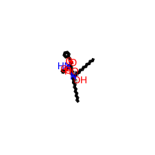 CCCCCCCCCC[C@@H](O)CN(CCCCC(NC(=O)OC(C)(C)C)C(=O)OCc1ccccc1)C[C@H](O)CCCCCCCCCC